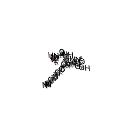 CC(=O)N[C@@H](CC(=O)O)c1ccc(-c2ccc(OCCOCCOCCOCCOCCN=[N+]=[N-])c3c2CCCC3)cc1.Cc1ccnc(NCCCC(N)=O)c1